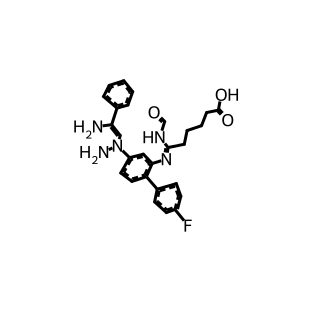 N/C(=C\N(N)c1ccc(-c2ccc(F)cc2)c(/N=C(/CCCCC(=O)O)NC=O)c1)c1ccccc1